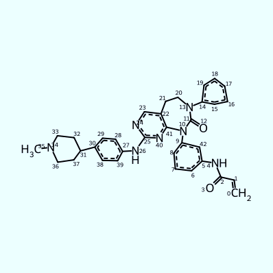 C=CC(=O)Nc1cccc(N2C(=O)N(c3ccccc3)CCc3cnc(Nc4ccc(C5CCN(C)CC5)cc4)nc32)c1